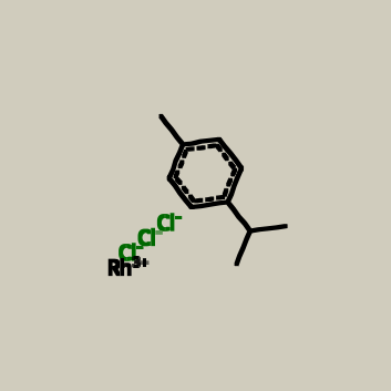 Cc1ccc(C(C)C)cc1.[Cl-].[Cl-].[Cl-].[Rh+3]